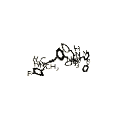 CN1C(=O)[C@H](NC(=O)c2cc(Oc3ccccc3)ccn2)COc2ccc(C#CC(C)(C)NCc3ccc(F)cc3)cc21